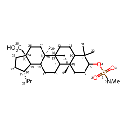 CNS(=O)(=O)OC1CC[C@@]2(C)C(CC[C@]3(C)C2CCC2C4[C@H](C(C)C)CC[C@]4(C(=O)O)CC[C@]23C)C1(C)C